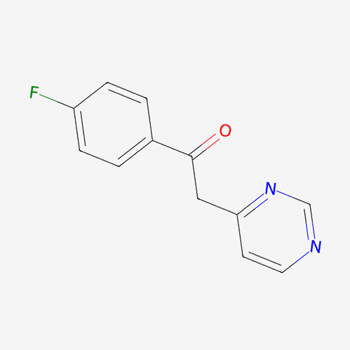 O=C(Cc1ccncn1)c1ccc(F)cc1